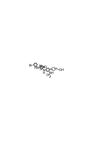 C=CC(=O)Nc1cc(Nc2ncnc(Nc3cccc(Br)c3)n2)c(OC)cc1N1CCN(CCO)CC1